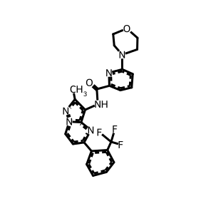 Cc1nn2ccc(-c3ccccc3C(F)(F)F)nc2c1NC(=O)c1cccc(N2CCOCC2)n1